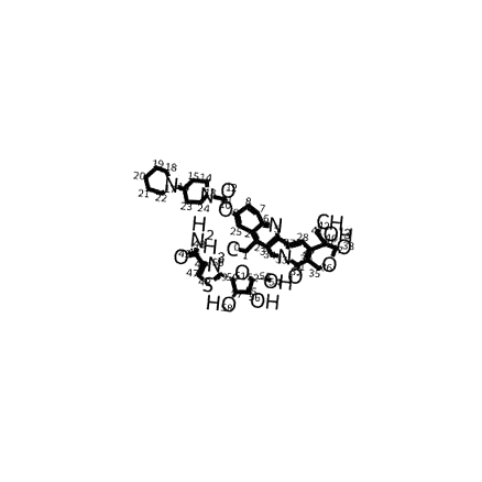 CCc1c2c(nc3ccc(OC(=O)N4CCC(N5CCCCC5)CC4)cc13)-c1cc3c(c(=O)n1C2)COC(=O)[C@]3(O)CC.NC(=O)c1csc([C@@H]2O[C@H](CO)[C@@H](O)[C@H]2O)n1